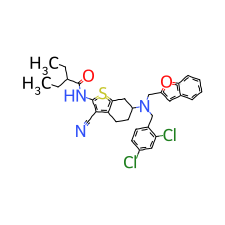 CCC(CC)C(=O)Nc1sc2c(c1C#N)CCC(N(Cc1cc3ccccc3o1)Cc1ccc(Cl)cc1Cl)C2